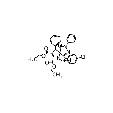 CCOC(=O)C1=C(C(=O)OCC)N(Cc2ccc(Cl)cc2)C2(C(=O)N(c3ccccc3)N=C2C)C1c1ccccc1